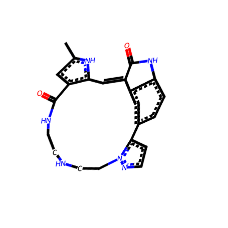 Cc1cc2c([nH]1)/C=C1\C(=O)Nc3ccc(cc31)-c1ccnn1CCNCCNC2=O